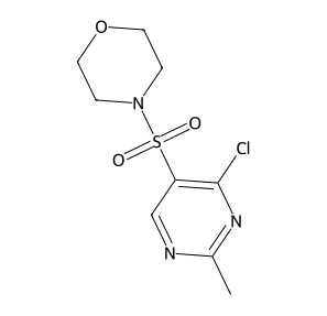 Cc1ncc(S(=O)(=O)N2CCOCC2)c(Cl)n1